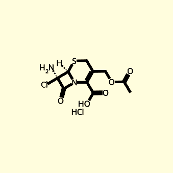 CC(=O)OCC1=C(C(=O)O)N2C(=O)[C@@](N)(Cl)[C@H]2SC1.Cl